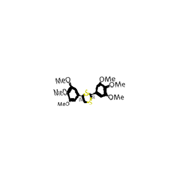 COc1cc([C@H]2SC[C@H](c3cc(OC)c(OC)c(OC)c3)S2)cc(OC)c1OC